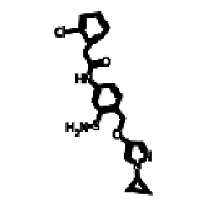 NSc1cc(NC(=O)Cc2ccccc2Cl)ccc1COc1cnn(C2CC2)c1